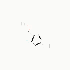 CC(C)OCc1ccc(C#N)cc1F